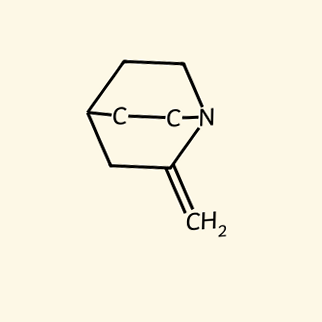 C=C1CC2CCN1CC2